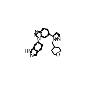 c1cc(-c2ccc3nnn(-c4ccc5cn[nH]c5c4)c3c2)n(CC2CCOCC2)n1